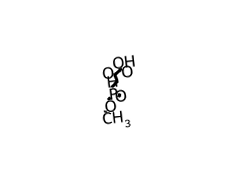 CCOC[PH](=O)CCC(=O)C(=O)O